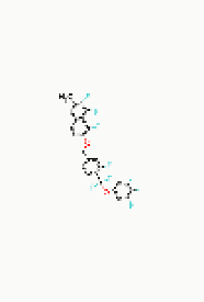 Cc1cc2ccc(OCc3ccc(C(F)(F)Oc4cc(F)c(F)c(F)c4)c(F)c3)c(F)c2c(F)c1F